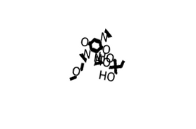 CCC(CO)(CO)CO.CCOCC.O=C1C=C(N2CC2)C(=O)C(N2CC2)=C1N1CC1